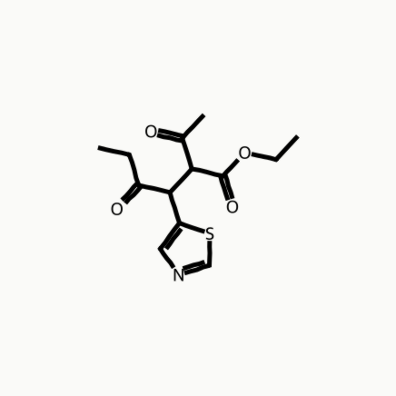 CCOC(=O)C(C(C)=O)C(C(=O)CC)c1cncs1